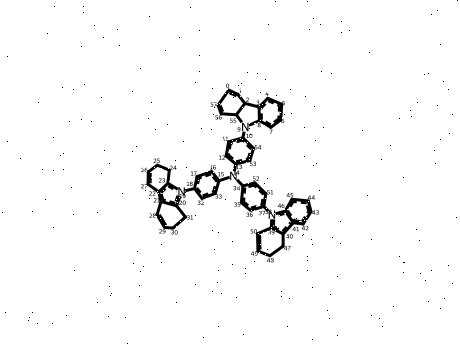 C1=CC2c3ccccc3N(c3ccc(N(c4ccc(-n5c6c(c7c5CCC=C7)C=CCC6)cc4)c4ccc(-n5c6c(c7ccccc75)CCC=C6)cc4)cc3)C2C=C1